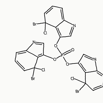 O=P(OC1=C2C(=CC=CC2(Cl)Br)N=C1)(OC1=C2C(=CC=CC2(Cl)Br)N=C1)OC1=C2C(=CC=CC2(Cl)Br)N=C1